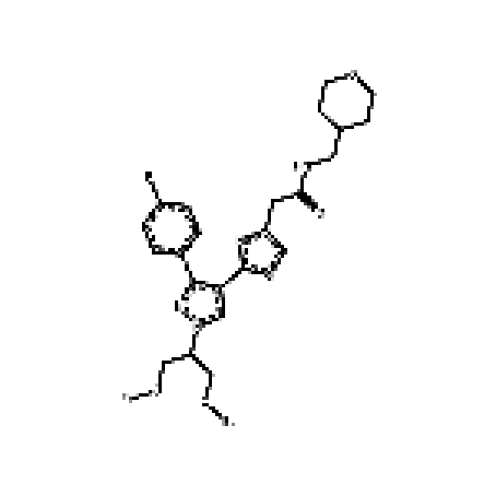 CCOCC(COCC)n1cc(-c2nc(CC(=O)NCC3CCOCC3)cs2)c(-c2ccc(F)cc2)n1